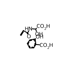 C=CC(=O)NC(O)C(=O)O.O=C(O)c1ccccc1O